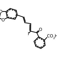 O=C(O)c1ccccc1C(=O)C(I)=CC=Cc1ccc2c(c1)OCO2